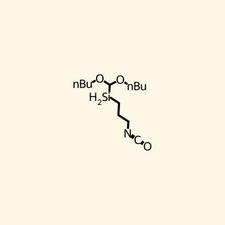 CCCCOC(OCCCC)[SiH2]CCCN=C=O